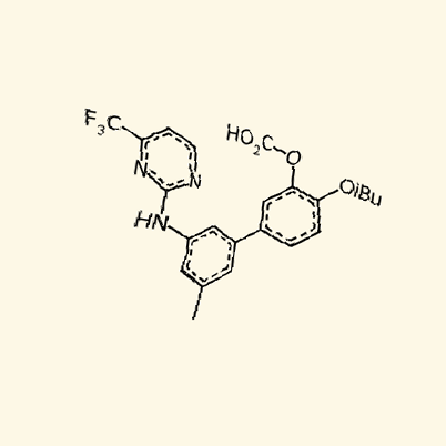 Cc1cc(Nc2nccc(C(F)(F)F)n2)cc(-c2ccc(OCC(C)C)c(OC(=O)O)c2)c1